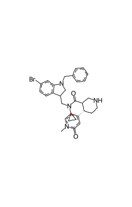 Cn1ccc([C@H]2CCNCC2C(=O)N(CC2CN(Cc3ccccc3)c3cc(Br)ccc32)C2CC2)cc1=O